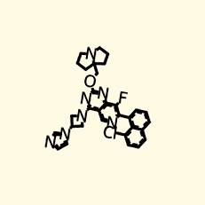 Fc1c(-c2cccc3cccc(Cl)c23)ncc2c(N3CC(n4ccnc4)C3)nc(OCC34CCCN3CCC4)nc12